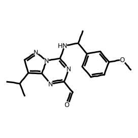 COc1cccc(C(C)Nc2nc(C=O)nc3c(C(C)C)cnn23)c1